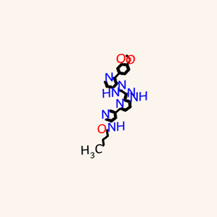 CCCCC(=O)Nc1cncc(-c2ccc3[nH]nc(-c4nc5c(-c6ccc7c(c6)OCO7)nccc5[nH]4)c3n2)c1